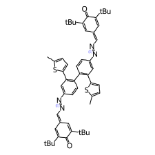 Cc1ccc(-c2cc(/N=N/C=C3C=C(C(C)(C)C)C(=O)C(C(C)(C)C)=C3)ccc2-c2ccc(/N=N/C=C3C=C(C(C)(C)C)C(=O)C(C(C)(C)C)=C3)cc2-c2ccc(C)s2)s1